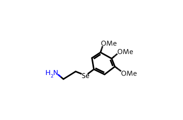 COc1cc([Se]CCN)cc(OC)c1OC